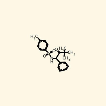 Cc1ccc(S(=O)(=O)NC(C(=O)C(C)(C)C)c2ccccc2)cc1